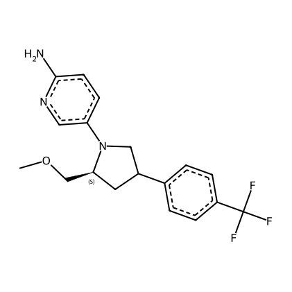 COC[C@@H]1CC(c2ccc(C(F)(F)F)cc2)CN1c1ccc(N)nc1